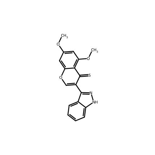 COc1cc(OC)c2c(=S)c(-c3n[nH]c4ccccc34)coc2c1